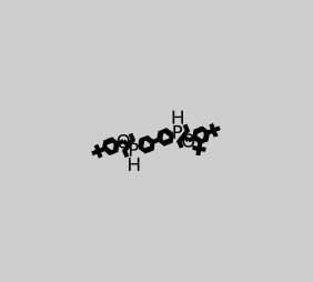 CCC(CC)(Oc1ccc(C(C)(C)C)cc1)Pc1ccc(-c2ccc(PC(CC)(CC)Oc3ccc(C(C)(C)C)cc3C(C)(C)C)cc2)cc1